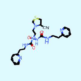 N#CC1CSCN1CC[N+]([O-])(NC(=O)NCCc1ccccn1)C(=O)NCCc1ccccn1